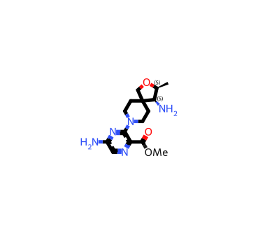 COC(=O)c1ncc(N)nc1N1CCC2(CC1)CO[C@@H](C)[C@H]2N